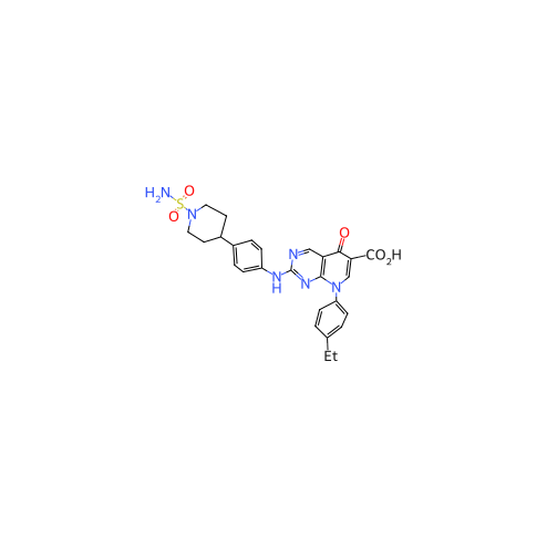 CCc1ccc(-n2cc(C(=O)O)c(=O)c3cnc(Nc4ccc(C5CCN(S(N)(=O)=O)CC5)cc4)nc32)cc1